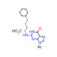 CC(=O)n1cnc2c(=O)[nH]c(N[C@@H](CCCc3ccccc3)C(=O)O)nc21